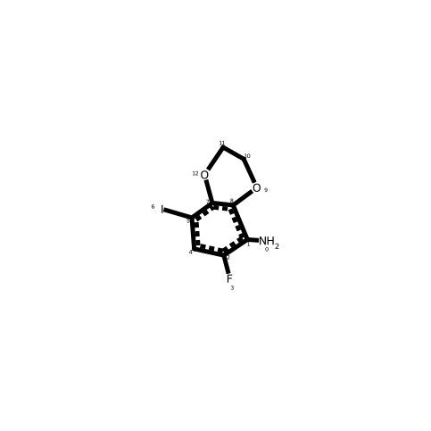 Nc1c(F)cc(I)c2c1OCCO2